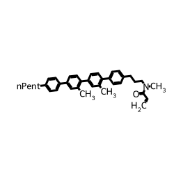 C=CC(=O)N(C)CCCc1ccc(-c2ccc(-c3ccc(-c4ccc(CCCCC)cc4)cc3C)cc2C)cc1